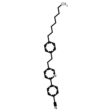 CCCCCCCCc1ccc(CCc2ccc(-c3ccc(C#N)cc3)nc2)cc1